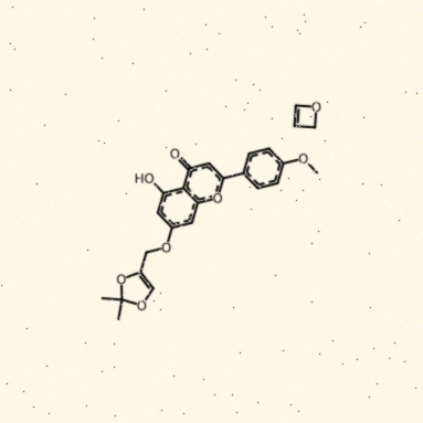 C1=COC1.COc1ccc(-c2cc(=O)c3c(O)cc(OCC4=COC(C)(C)O4)cc3o2)cc1